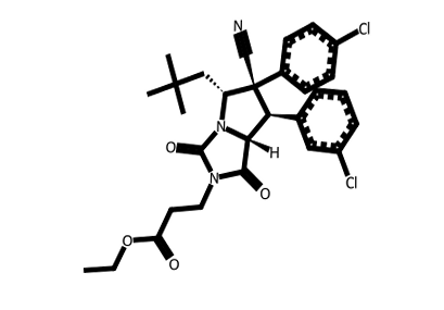 CCOC(=O)CCN1C(=O)[C@H]2[C@H](c3cccc(Cl)c3)[C@@](C#N)(c3ccc(Cl)cc3)[C@@H](CC(C)(C)C)N2C1=O